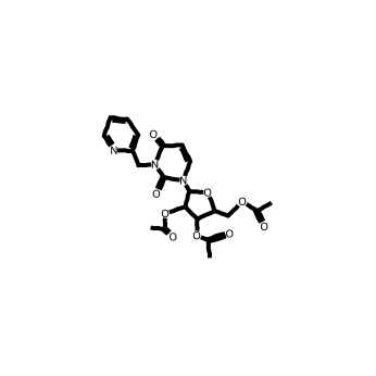 CC(=O)OCC1OC(n2ccc(=O)n(Cc3ccccn3)c2=O)C(OC(C)=O)C1OC(C)=O